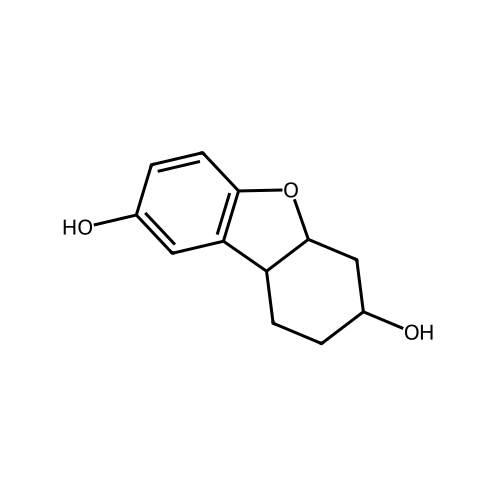 Oc1ccc2c(c1)C1CCC(O)CC1O2